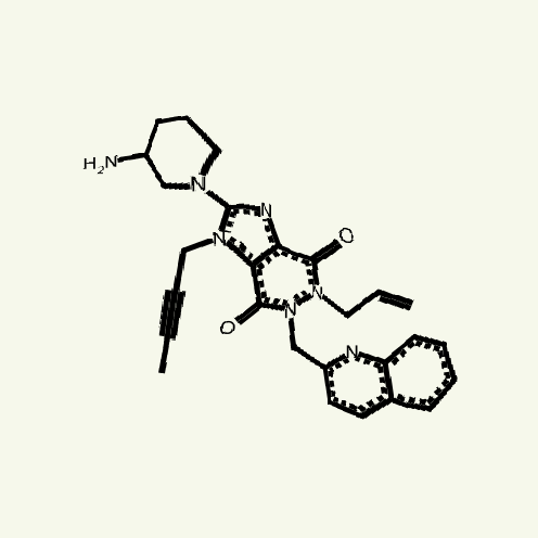 C=CCn1c(=O)c2nc(N3CCCC(N)C3)n(CC#CC)c2c(=O)n1Cc1ccc2ccccc2n1